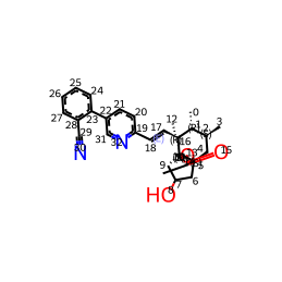 C[C@@H]1[C@@H](C)C[C@]23CC(O)C[C@]2([C@@H](C)OC3=O)[C@H]1/C=C/c1ccc(-c2ccccc2C#N)cn1